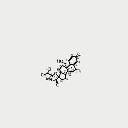 COC(=O)[C@@]1(OC(=O)C(Cl)Cl)CC[C@H]2[C@@H]3C[C@H](C)C4=CC(=O)C=C[C@]4(C)[C@H]3[C@@H](O)C[C@@]21C